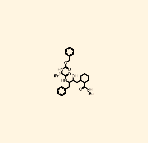 CC(C)[C@H](NC(=O)OCc1ccccc1)C(=O)NC(Cc1ccccc1)C(O)CC1CCCCC1C(=O)NC(C)(C)C